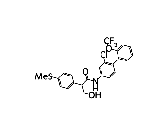 CSc1ccc(C(CO)C(=O)Nc2ccc(-c3ccccc3OC(F)(F)F)c(Cl)c2)cc1